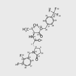 CC(C)[C@H](NC(=O)C[C@@H]1CCC(=O)N1Cc1cccc(F)c1F)C(=O)OCc1ccc(C(F)(F)F)cc1